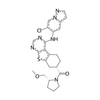 COC[C@H]1CCCN1C(=O)[C@H]1CCc2c(sc3ncnc(Nc4cc5ccnn5cc4Cl)c23)C1